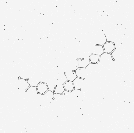 CCNC(=O)c1ccc(S(=O)(=O)Nc2cc(F)c(C(=O)N[C@@H](Cc3ccc(-n4c(=O)ccn(C)c4=O)cc3)C(=O)O)c(F)c2)cc1